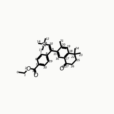 CCOC(=O)c1ccc(C(=C[Si](C)(C)C)c2cc3c(cc2C)C(C)(C)CCC3=O)cc1